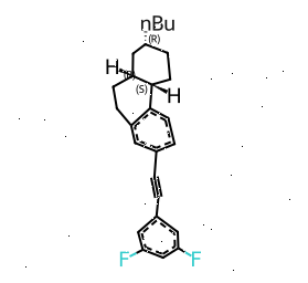 CCCC[C@@H]1CC[C@@H]2c3ccc(C#Cc4cc(F)cc(F)c4)cc3CC[C@@H]2C1